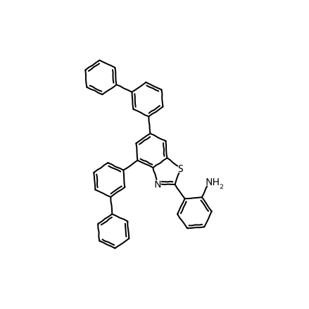 Nc1ccccc1-c1nc2c(-c3cccc(-c4ccccc4)c3)cc(-c3cccc(-c4ccccc4)c3)cc2s1